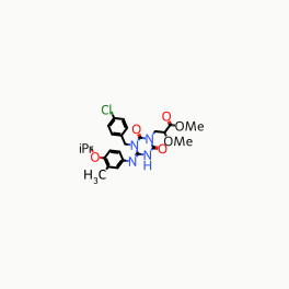 COC(=O)C(Cn1c(=O)[nH]c(=Nc2ccc(OC(C)C)c(C)c2)n(Cc2ccc(Cl)cc2)c1=O)OC